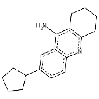 Nc1c2c(nc3ccc(C4CCCC4)cc13)CCCC2